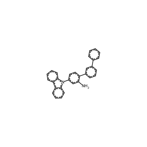 Nc1cc(-n2c3ccccc3c3ccccc32)ccc1-c1cccc(-c2ccccc2)c1